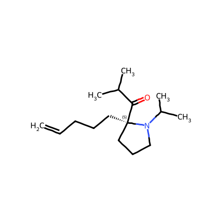 C=CCCC[C@@]1(C(=O)C(C)C)CCCN1C(C)C